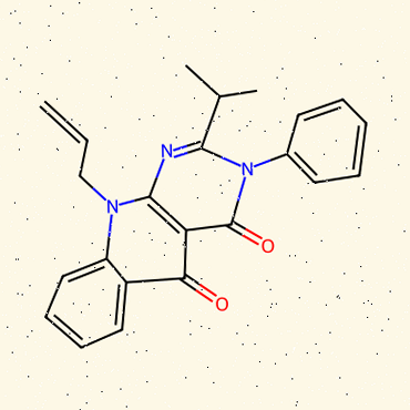 C=CCn1c2ccccc2c(=O)c2c(=O)n(-c3ccccc3)c(C(C)C)nc21